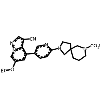 CCOc1cc(-c2ccc(N3CCC4(CCCN(C(=O)O)C4)C3)nc2)c2c(C#N)cnn2c1